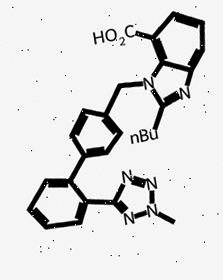 CCCCc1nc2cccc(C(=O)O)c2n1Cc1ccc(-c2ccccc2-c2nnn(C)n2)cc1